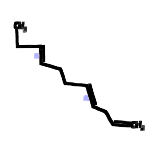 C=CC/C=C/CC/C=C/CC